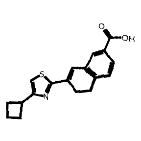 O=C(O)c1ccc2c(c1)C=C(c1nc(C3CCC3)cs1)CC2